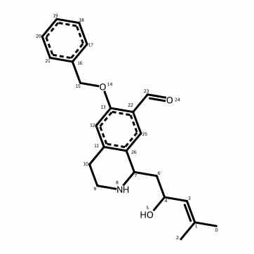 CC(C)=CC(O)CC1NCCc2cc(OCc3ccccc3)c(C=O)cc21